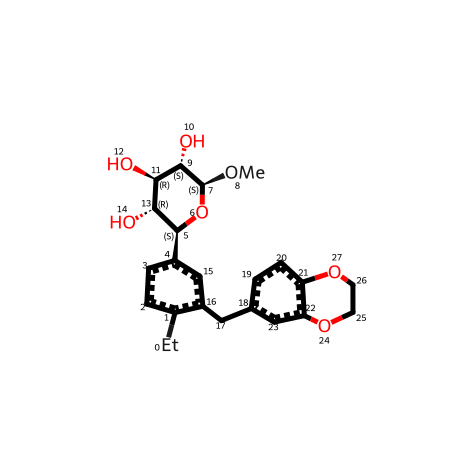 CCc1ccc([C@@H]2O[C@H](OC)[C@@H](O)[C@H](O)[C@H]2O)cc1Cc1ccc2c(c1)OCCO2